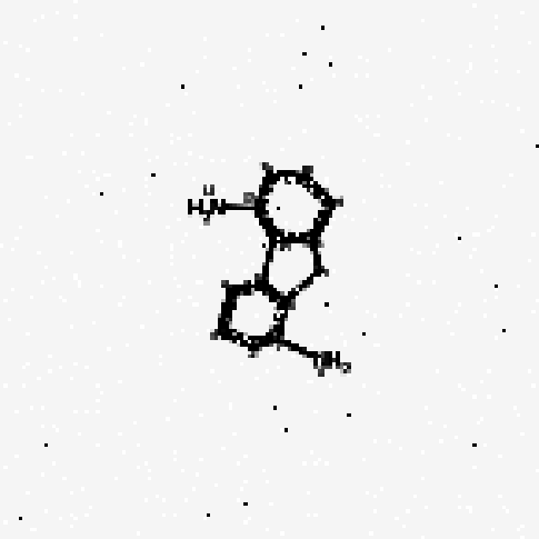 Nc1cccc2c1Cc1cccc(N)c1-2